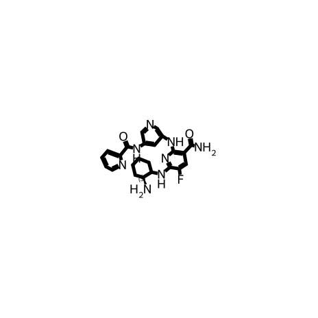 NC(=O)c1cc(F)c(NC2CCCC[C@@H]2N)nc1Nc1cncc(NC(=O)c2ccccn2)c1